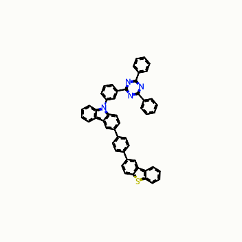 c1ccc(-c2nc(-c3ccccc3)nc(-c3cccc(-n4c5ccccc5c5cc(-c6ccc(-c7ccc8sc9ccccc9c8c7)cc6)ccc54)c3)n2)cc1